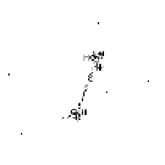 CCCCCS(=O)(=O)NCCCCCCCCCCCOCCCC(COP(=O)(O)O)[N+](C)(C)C